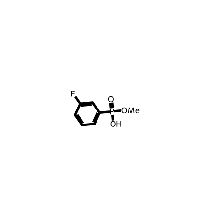 COP(=O)(O)c1cccc(F)c1